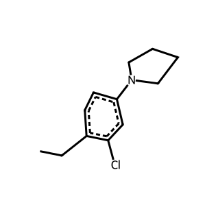 CCc1ccc(N2CCCC2)cc1Cl